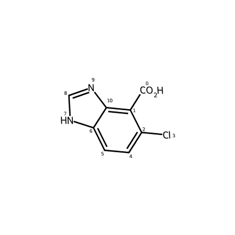 O=C(O)c1c(Cl)ccc2[nH]cnc12